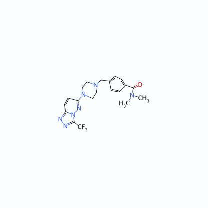 CN(C)C(=O)c1ccc(CN2CCN(c3ccc4nnc(C(F)(F)F)n4n3)CC2)cc1